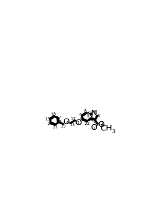 COC(=O)c1cnn2ccc(OCCOCc3ccccc3)cc12